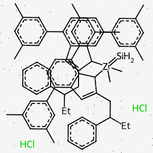 CCC(CC1=Cc2c(-c3cc(C)cc(C)c3)ccc(-c3cc(C)cc(C)c3)c2[CH]1[Zr]([CH3])([CH3])(=[SiH2])[CH]1C(CC(CC)c2ccccc2)=Cc2c(-c3cc(C)cc(C)c3)ccc(-c3cc(C)cc(C)c3)c21)c1ccccc1.Cl.Cl